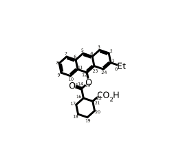 CCc1ccc2cc3ccccc3c(OC(=O)C3CCCCC3C(=O)O)c2c1